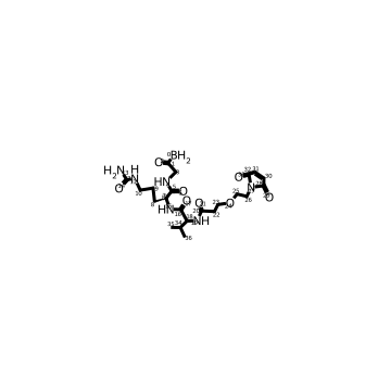 BC(=O)CNC(=O)[C@H](CCCNC(N)=O)NC(=O)C(NC(=O)CCOCCN1C(=O)C=CC1=O)C(C)C